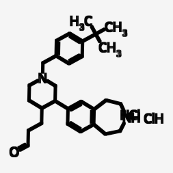 CC(C)(C)c1ccc(CN2CCC(CCC=O)C(c3ccc4c(c3)CCNCC4)C2)cc1.Cl.Cl